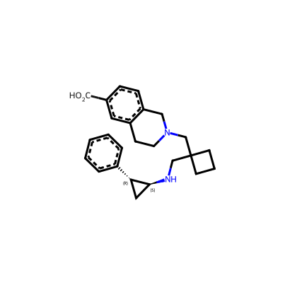 O=C(O)c1ccc2c(c1)CCN(CC1(CN[C@H]3C[C@@H]3c3ccccc3)CCC1)C2